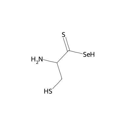 NC(CS)C(=S)[SeH]